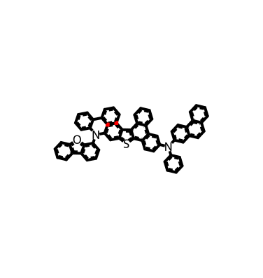 c1ccc(-c2ccccc2N(c2ccc3c(c2)sc2c4ccc(N(c5ccccc5)c5ccc6c(ccc7ccccc76)c5)cc4c4ccccc4c32)c2cccc3c2oc2ccccc23)cc1